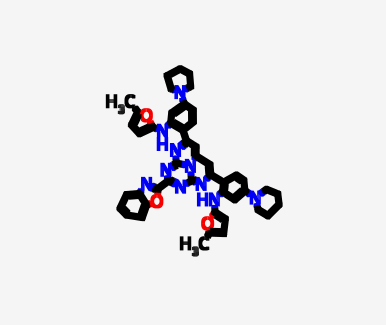 Cc1ccc(Nc2cc(N3CCCCC3)ccc2C2=CC3=CC(c4ccc(N5CCCCC5)cc4Nc4ccc(C)o4)=NC4=NC(c5nc6ccccc6o5)=NC(=N2)N34)o1